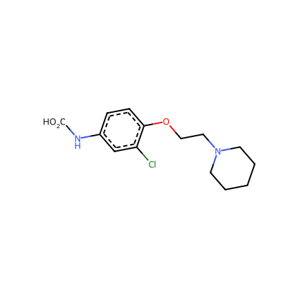 O=C(O)Nc1ccc(OCCN2CCCCC2)c(Cl)c1